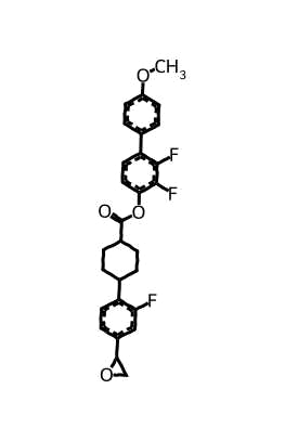 COc1ccc(-c2ccc(OC(=O)C3CCC(c4ccc(C5CO5)cc4F)CC3)c(F)c2F)cc1